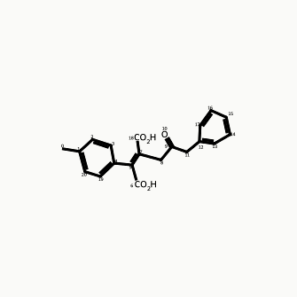 Cc1ccc(/C(C(=O)O)=C(/CC(=O)Cc2ccccc2)C(=O)O)cc1